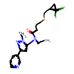 CCN(C(=O)CCSCC1CC1(F)F)c1cc(-c2cccnc2)nn1C